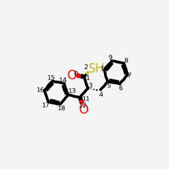 O=C(S)[C@H](Cc1ccccc1)C(=O)c1ccccc1